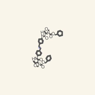 C=C1OCN(C(=O)OCc2ccccc2)[C@@H]1C(=O)Nc1ccc(/C=C/c2ccc(NC(=O)[C@@H]3COCN3C(=O)OCc3ccccc3)cc2)cc1